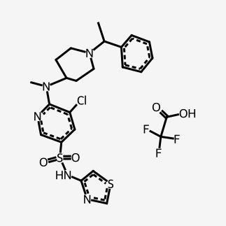 CC(c1ccccc1)N1CCC(N(C)c2ncc(S(=O)(=O)Nc3cscn3)cc2Cl)CC1.O=C(O)C(F)(F)F